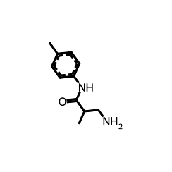 Cc1ccc(NC(=O)C(C)CN)cc1